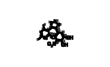 Cc1cc(C)c(-c2snnc2-c2cc(O)c(O)c([N+](=O)[O-])c2)c(Cl)n1